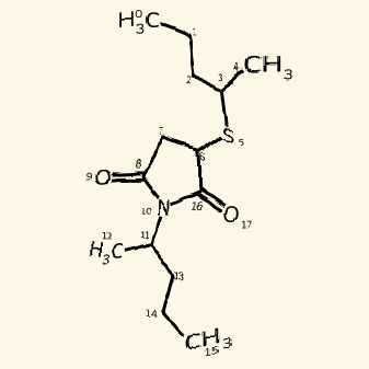 CCCC(C)SC1CC(=O)N(C(C)CCC)C1=O